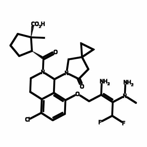 CN(N)/C(=C(\N)COc1ccc(Cl)c2c1C(N1CC3(CC3)CC1=O)N(C(=O)[C@@H]1CCC[C@]1(C)C(=O)O)CC2)C(F)F